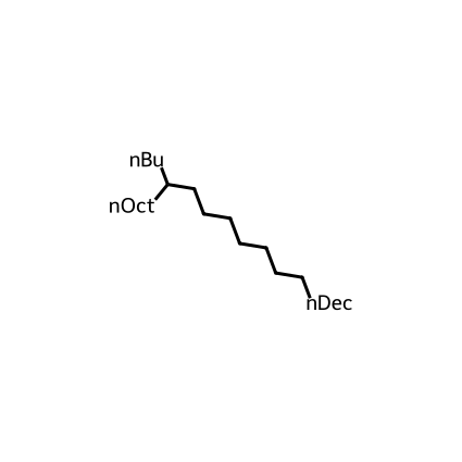 [CH2]CCCC(CCCCCCCC)CCCCCCCCCCCCCCCCC